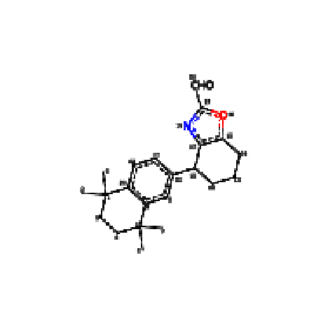 CC1(C)CCC(C)(C)c2cc(C3CCCc4oc(C=O)nc43)ccc21